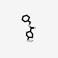 O=C(O)C1CCC(C(=O)OCC2CCCCC2)CC1